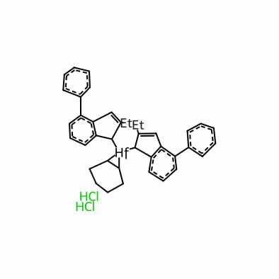 CCC1=Cc2c(-c3ccccc3)cccc2[CH]1[Hf]1([CH]2C(CC)=Cc3c(-c4ccccc4)cccc32)[CH]2CCCC[CH]21.Cl.Cl